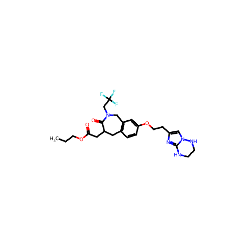 CCCOC(=O)CC1Cc2ccc(OCCc3cn4c(n3)NCCN4)cc2CN(CC(F)(F)F)C1=O